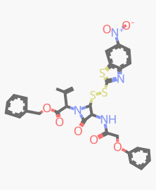 C=C(C)C(C(=O)OCc1ccccc1)N1C(=O)C(NC(=O)COc2ccccc2)C1SSc1nc2ccc([N+](=O)[O-])cc2s1